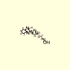 Cc1nc2ccccc2nc1N1CCN(CCCCCO)CC1